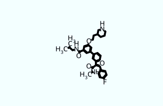 CNC(=O)c1c(-c2ccc(F)cc2)oc2ccc(-c3cc(OCCC4CCCNC4)cc(C(=O)NCC(C)C)c3)cc12